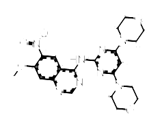 COc1cc2ncnc(Nc3nc(N4CCOCC4)cc(N4CCOCC4)n3)c2cc1[N+](=O)[O-]